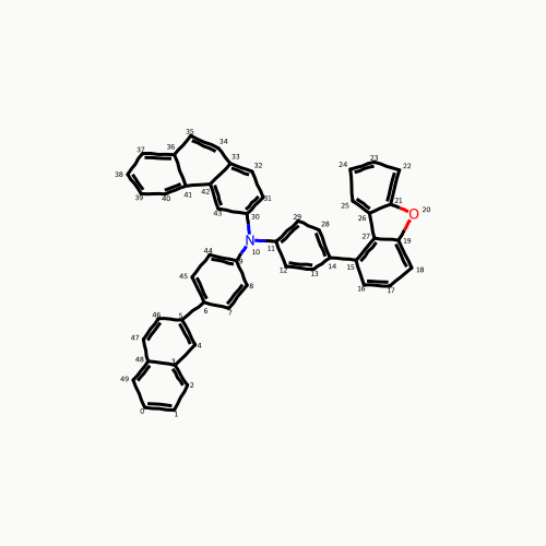 c1ccc2cc(-c3ccc(N(c4ccc(-c5cccc6oc7ccccc7c56)cc4)c4ccc5ccc6ccccc6c5c4)cc3)ccc2c1